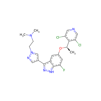 C[C@@H](Oc1cc(F)c2[nH]nc(-c3cnn(CCN(C)C)c3)c2c1)c1c(Cl)cncc1Cl